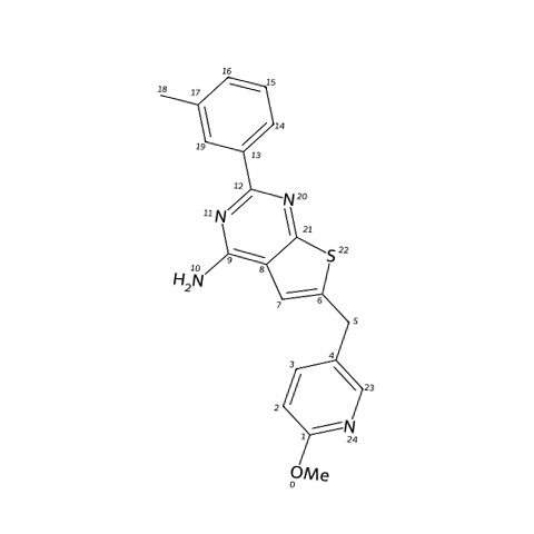 COc1ccc(Cc2cc3c(N)nc(-c4cccc(C)c4)nc3s2)cn1